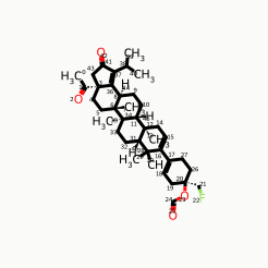 CC(=O)[C@@]12CC[C@]3(C)[C@H](CC[C@@H]4[C@@]5(C)CC=C(C6=CC[C@](CF)(OC=O)CC6)C(C)(C)[C@@H]5CC[C@]43C)C1=C(C(C)C)C(=O)C2